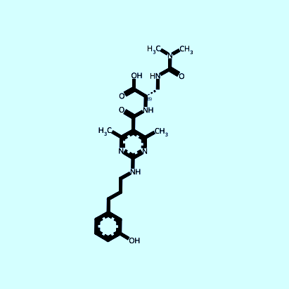 Cc1nc(NCCCc2cccc(O)c2)nc(C)c1C(=O)N[C@@H](CNC(=O)N(C)C)C(=O)O